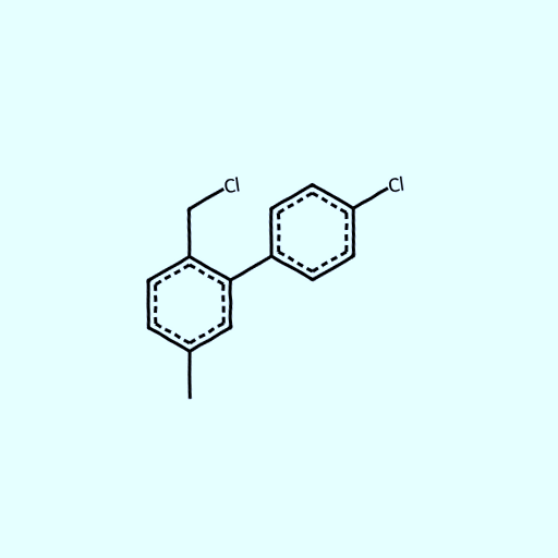 Cc1ccc(CCl)c(-c2ccc(Cl)cc2)c1